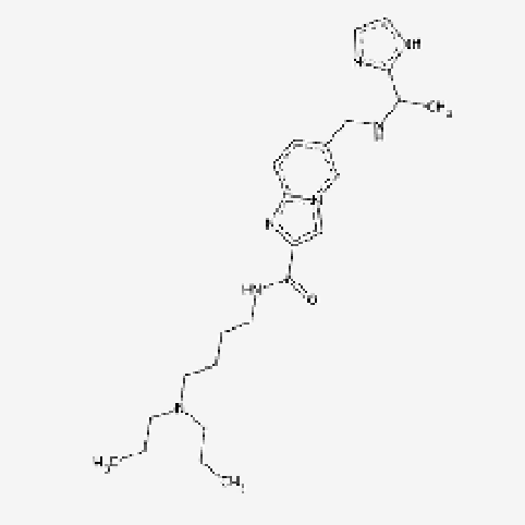 CCCN(CCC)CCCCNC(=O)c1cn2cc(CNC(C)c3ncc[nH]3)ccc2n1